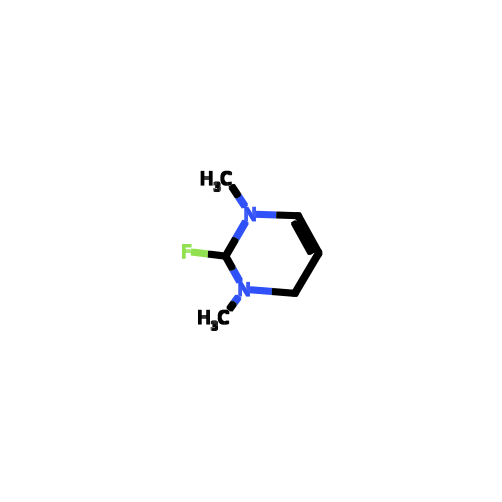 CN1C=CCN(C)C1F